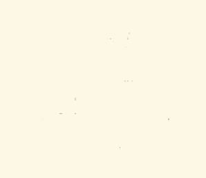 COC1S[C@@H]2N(C(=O)[C@@]2(NC(=O)CN)c2ccc(O)cc2)C(C(=O)O)=C1CSc1nnnn1C.O=C(O)C(F)(F)F